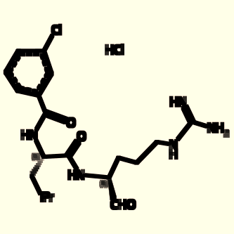 CC(C)C[C@H](NC(=O)c1cccc(Cl)c1)C(=O)N[C@H](C=O)CCCNC(=N)N.Cl